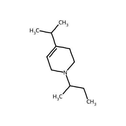 CCC(C)N1CC=C(C(C)C)CC1